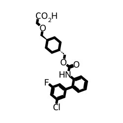 O=C(O)COC[C@H]1CC[C@H](COC(=O)Nc2ccccc2-c2cc(F)cc(Cl)c2)CC1